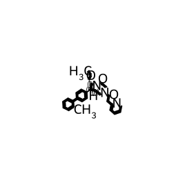 COC[C@H]1[C@H](c2ccc(-c3ccccc3C)cc2)[C@@H]2CN(C(=O)Cc3ccccn3)CC(=O)N12